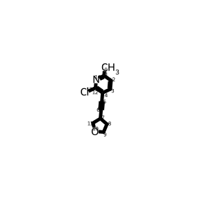 Cc1ccc(C#CC2CCOC2)c(Cl)n1